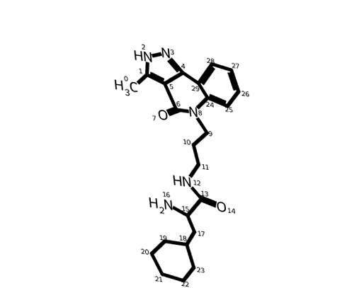 Cc1[nH]nc2c1c(=O)n(CCCNC(=O)C(N)CC1CCCCC1)c1ccccc21